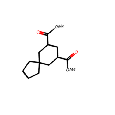 COC(=O)C1CC(C(=O)OC)CC2(CCCC2)C1